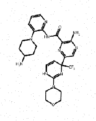 Nc1ncc(C2(C(F)(F)F)C=CNC(N3CCOCC3)=N2)nc1C(=O)Nc1ncccc1N1CCC(N)CC1